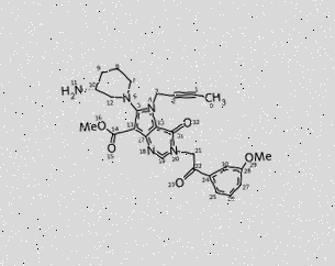 CC#CCn1c(N2CCC[C@@H](N)C2)c(C(=O)OC)c2ncn(CC(=O)c3cccc(OC)c3)c(=O)c21